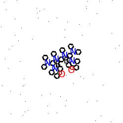 c1ccc(N(c2ccccc2)c2cc3c4c(c2)N(c2ccccc2)c2c(ccc5oc6ccccc6c25)B4c2cc4c(cc2N3c2ccccc2)N(c2ccccc2)c2cc(N(c3ccccc3)c3ccccc3)cc3c2B4c2ccc4oc5ccccc5c4c2N3c2ccccc2)cc1